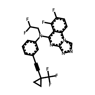 Fc1ccc2c(c(N(CC(F)F)c3cccc(C#CC4(C(F)(F)F)CC4)c3)nc3nncn32)c1F